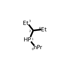 CCCPC(CC)CC